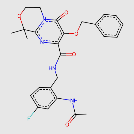 CC(=O)Nc1cc(F)ccc1CNC(=O)c1nc2n(c(=O)c1OCc1ccccc1)CCOC2(C)C